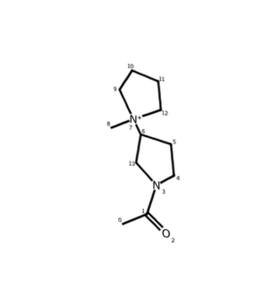 CC(=O)N1CCC([N+]2(C)CCCC2)C1